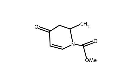 COC(=O)N1C=CC(=O)CC1C